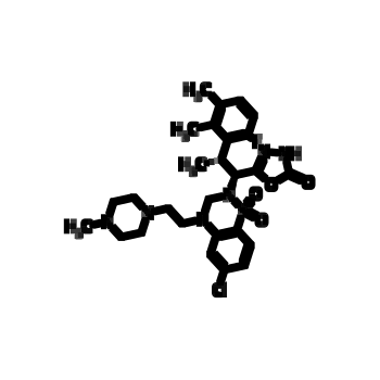 Cc1ccc(F)c([C@@H](C)[C@@H](c2n[nH]c(=O)o2)N2CN(CCN3CCN(C)CC3)c3cc(Cl)ccc3S2(=O)=O)c1C